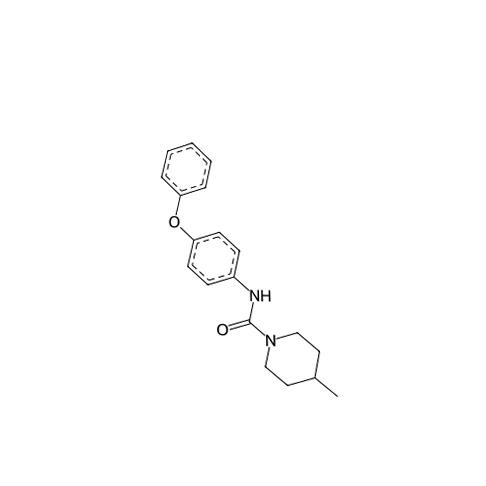 CC1CCN(C(=O)Nc2ccc(Oc3ccccc3)cc2)CC1